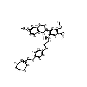 COc1cc(NCCCc2ccc(CCN3CCCCCC3)cc2)c([C@@H]2CCc3cc(O)ccc3C2)cc1OC